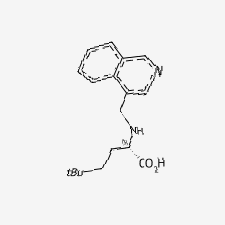 CC(C)(C)CC[C@H](NCc1cncc2ccccc12)C(=O)O